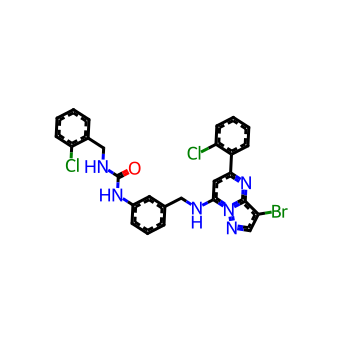 O=C(NCc1ccccc1Cl)Nc1cccc(CNc2cc(-c3ccccc3Cl)nc3c(Br)cnn23)c1